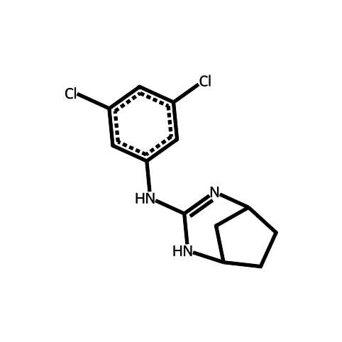 Clc1cc(Cl)cc(NC2=NC3CCC(C3)N2)c1